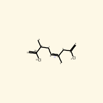 C=C(Cl)C/C(C)=C\CC(C)C(=C)Cl